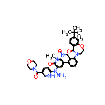 Cn1cc(-c2cccc(N3CCOc4cc(C(C)(C)C)ccc4C3=O)c2CN=O)cc(N(N)C2=CC=C(C(=O)N3CCOCC3)CN2)c1=O